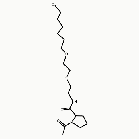 CCC(=O)N1CCCC1C(=O)NCCOCCOCCCCCCCl